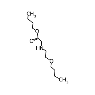 CCCCOCCNCC(=O)OCCCC